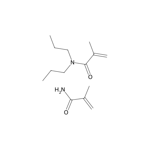 C=C(C)C(=O)N(CCC)CCC.C=C(C)C(N)=O